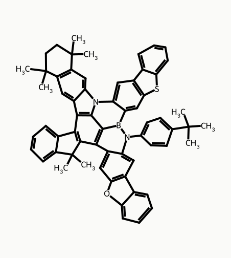 CC(C)(C)c1ccc(N2B3c4cc5sc6ccccc6c5cc4-n4c5cc6c(cc5c5c7c(c(c3c54)-c3cc4oc5ccccc5c4cc32)C(C)(C)c2ccccc2-7)C(C)(C)CCC6(C)C)cc1